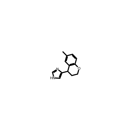 Cc1ccc2c(c1)C(c1c[nH]cn1)CCO2